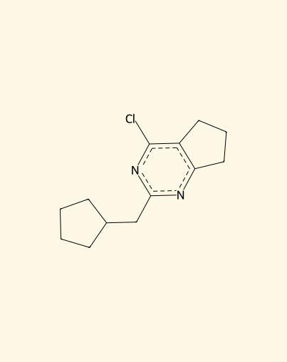 Clc1nc(CC2CCCC2)nc2c1CCC2